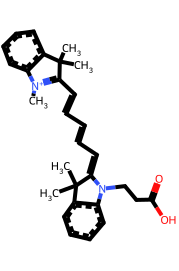 C[N+]1=C(/C=C/C=C/C=C2/N(CCC(=O)O)c3ccccc3C2(C)C)C(C)(C)c2ccccc21